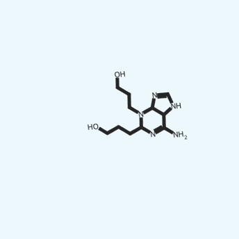 NC1=NC(CCCO)N(CCCO)C2N=CNC12